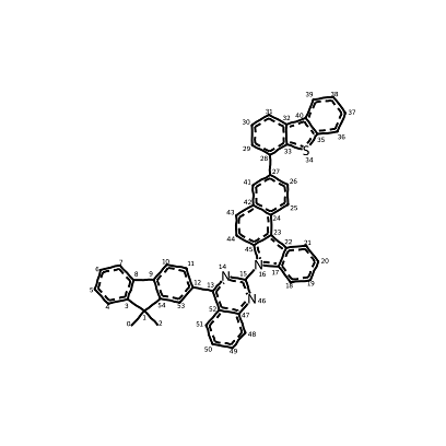 CC1(C)c2ccccc2-c2ccc(-c3nc(-n4c5ccccc5c5c6ccc(-c7cccc8c7sc7ccccc78)cc6ccc54)nc4ccccc34)cc21